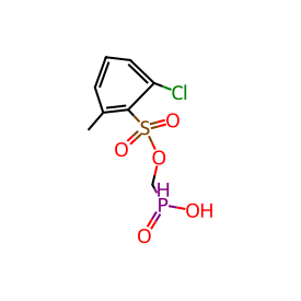 Cc1cccc(Cl)c1S(=O)(=O)OC[PH](=O)O